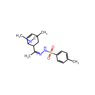 C/C(=N/NS(=O)(=O)c1ccc(C)cc1)C1CC2(C)C=CC1N(C)C2